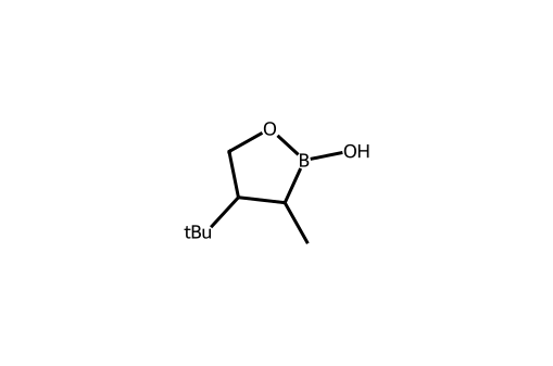 CC1B(O)OCC1C(C)(C)C